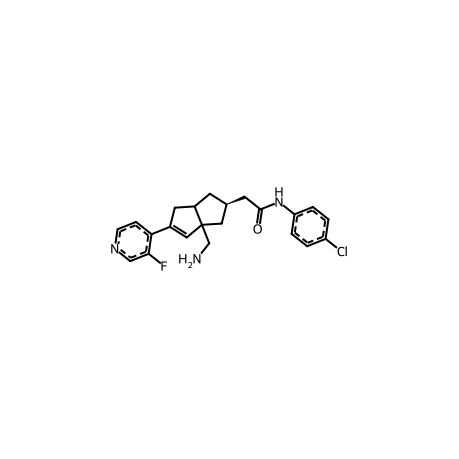 NCC12C=C(c3ccncc3F)CC1C[C@@H](CC(=O)Nc1ccc(Cl)cc1)C2